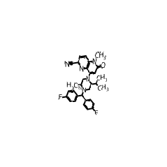 CC(C)C1CN(C(c2ccc(F)cc2)c2ccc(F)cc2)[C@@H](C)CN1c1cc(=O)n(C)c2ccc(C#N)nc12